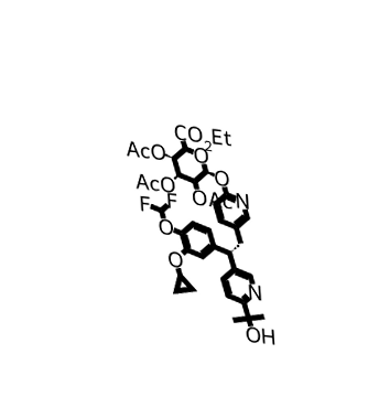 CCOC(=O)C1O[C@@H](Oc2ccc(C[C@H](c3ccc(C(C)(C)O)nc3)c3ccc(OC(F)F)c(OC4CC4)c3)cn2)C(OC(C)=O)[C@H](OC(C)=O)[C@@H]1OC(C)=O